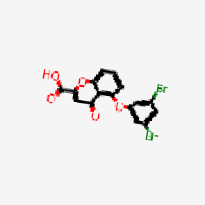 O=C(O)c1cc(=O)c2c(Oc3cc(Br)cc(Br)c3)cccc2o1